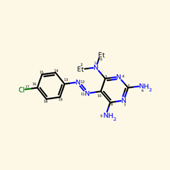 CCN(CC)c1nc(N)nc(N)c1N=Nc1ccc(Cl)cc1